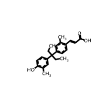 CCC(CC)(c1ccc(O)c(C)c1)c1ccc(C=CC(=O)O)c(C)c1